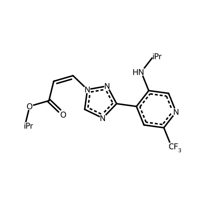 CC(C)Nc1cnc(C(F)(F)F)cc1-c1ncn(/C=C\C(=O)OC(C)C)n1